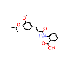 COc1cc(/C=C/C(=O)Nc2ccccc2C(=O)O)ccc1OC(C)C